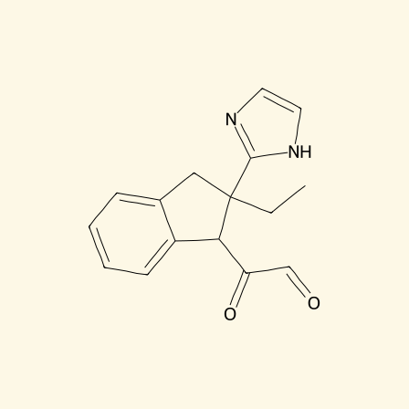 CCC1(c2ncc[nH]2)Cc2ccccc2C1C(=O)C=O